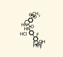 CS(=O)(=O)c1ccc2c(c1)CCNC2C(=O)Nc1ccc(-c2ccc(C(O)(C(F)(F)F)C(F)(F)F)cc2F)cc1.Cl